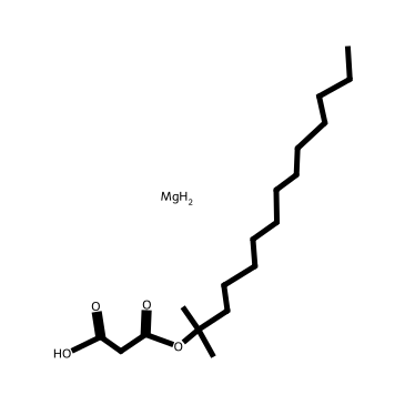 CCCCCCCCCCCCC(C)(C)OC(=O)CC(=O)O.[MgH2]